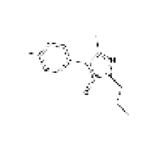 CCCn1[nH]c(C)c(-c2ccc(C)cc2)c1=O